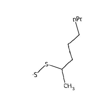 CCCCCCC(C)S[S]